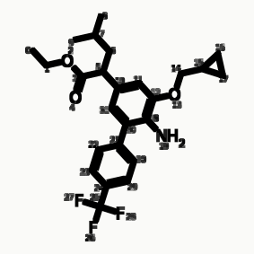 CCOC(=O)C(CC(C)C)c1cc(OCC2CC2)c(N)c(-c2ccc(C(F)(F)F)cc2)c1